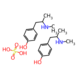 CNC(C)Cc1ccc(O)cc1.CNC(C)Cc1ccc(O)cc1.O=S(=O)(O)O